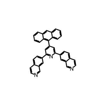 c1ccc2c(-c3cc(-c4ccc5ccncc5c4)nc(-c4ccc5ccncc5c4)c3)c3ccccc3cc2c1